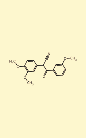 COc1cccc(C(=O)C(C#N)c2ccc(OC)c(OC)c2)c1